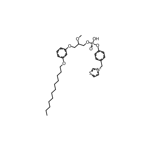 CCCCCCCCCCCCOc1cccc(OCC(COP(=O)(O)Oc2ccc(C[n+]3ccsc3)cc2)OC)c1